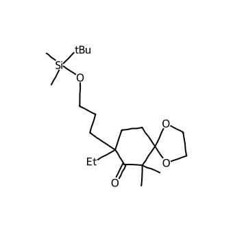 CCC1(CCCO[Si](C)(C)C(C)(C)C)CCC2(OCCO2)C(C)(C)C1=O